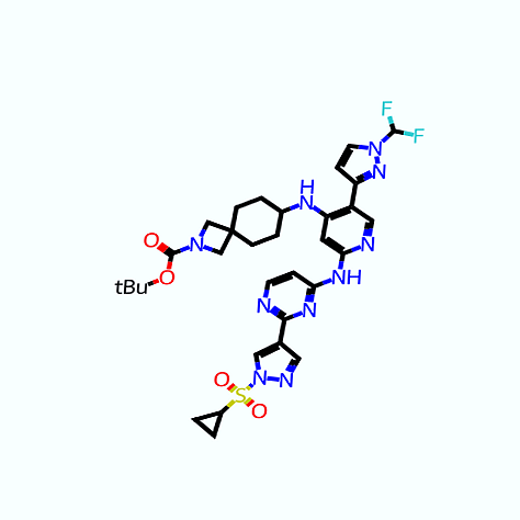 CC(C)(C)OC(=O)N1CC2(CCC(Nc3cc(Nc4ccnc(-c5cnn(S(=O)(=O)C6CC6)c5)n4)ncc3-c3ccn(C(F)F)n3)CC2)C1